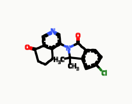 CC1(C)c2cc(Cl)ccc2C(=O)N1c1cncc2c1CCCC2=O